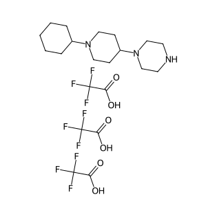 C1CCC(N2CCC(N3CCNCC3)CC2)CC1.O=C(O)C(F)(F)F.O=C(O)C(F)(F)F.O=C(O)C(F)(F)F